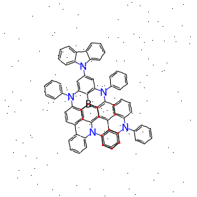 c1ccc(N(c2ccccc2)c2ccccc2-c2ccc3c(c2)B2c4cc(-c5ccccc5N(c5ccccc5)c5ccccc5)ccc4N(c4ccccc4)c4cc(-n5c6ccccc6c6ccccc65)cc(c42)N3c2ccccc2)cc1